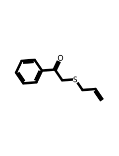 C=CCSCC(=O)c1ccccc1